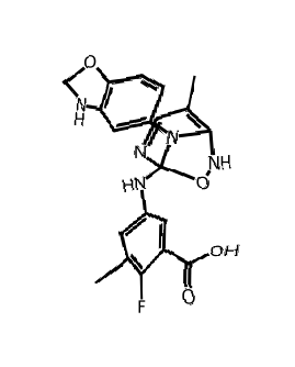 CC1=C2NOC(Nc3cc(C)c(F)c(C(=O)O)c3)(N=C1)N2c1ccc2c(c1)NCO2